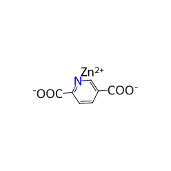 O=C([O-])c1ccc(C(=O)[O-])nc1.[Zn+2]